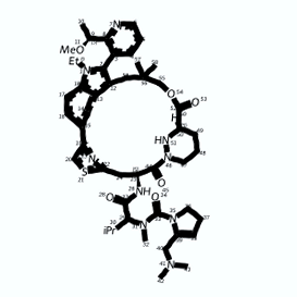 CCn1c(-c2cccnc2[C@H](C)OC)c2c3cc(ccc31)-c1csc(n1)C[C@H](NC(=O)C(C(C)C)N(C)C(=O)N1CCC=C1CN(C)C)C(=O)N1CCC[C@H](N1)C(=O)OCC(C)(C)C2